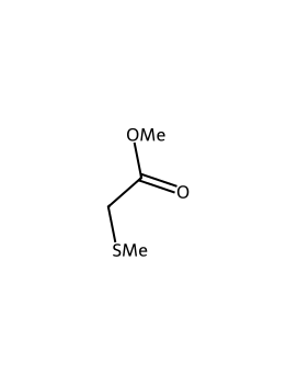 [CH2]SCC(=O)OC